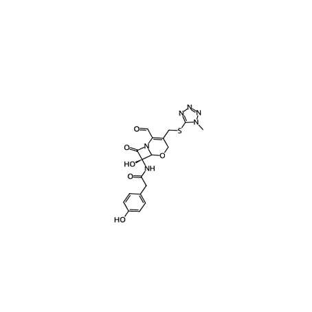 Cn1nnnc1SCC1=C(C=O)N2C(=O)[C@@](O)(NC(=O)Cc3ccc(O)cc3)C2OC1